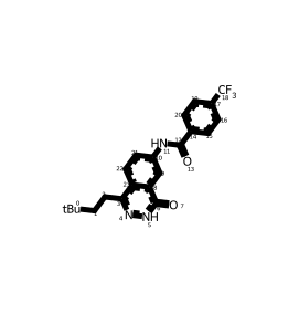 CC(C)(C)CCc1n[nH]c(=O)c2cc(NC(=O)c3ccc(C(F)(F)F)cc3)ccc12